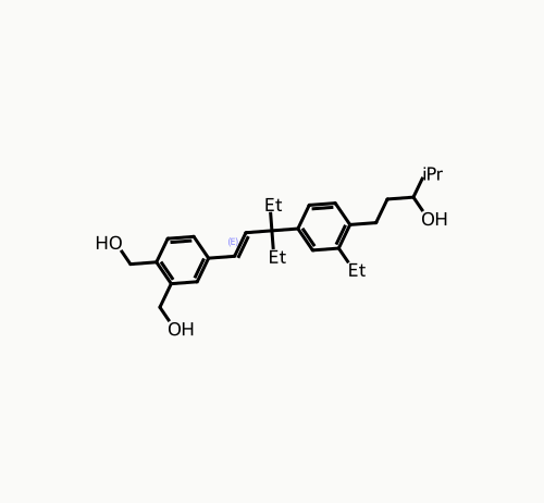 CCc1cc(C(/C=C/c2ccc(CO)c(CO)c2)(CC)CC)ccc1CCC(O)C(C)C